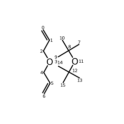 C=CCOCC=C.CC(C)(C)OC(C)(C)C